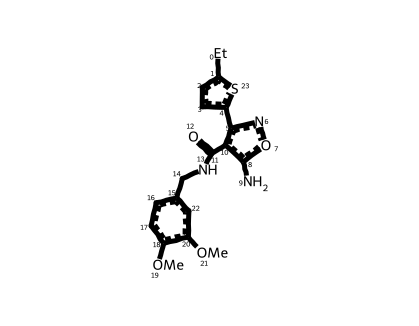 CCc1ccc(-c2noc(N)c2C(=O)NCc2ccc(OC)c(OC)c2)s1